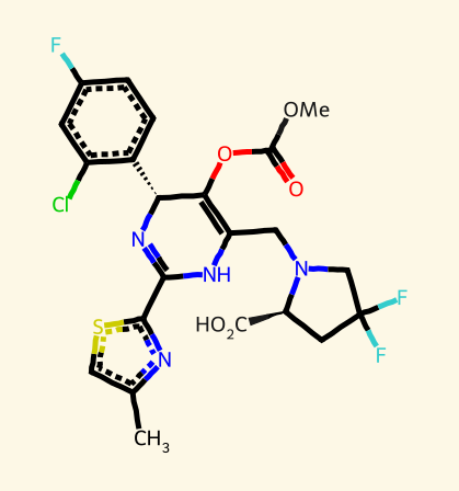 COC(=O)OC1=C(CN2CC(F)(F)C[C@H]2C(=O)O)NC(c2nc(C)cs2)=N[C@@H]1c1ccc(F)cc1Cl